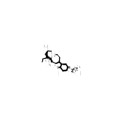 CC[C@H]1C[C@H]2C[C@H]3c4[nH]c5ccc(OS(=O)(=O)O)cc5c4CCN(C2)C13